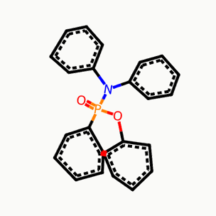 O=P(Oc1ccccc1)(c1ccccc1)N(c1ccccc1)c1ccccc1